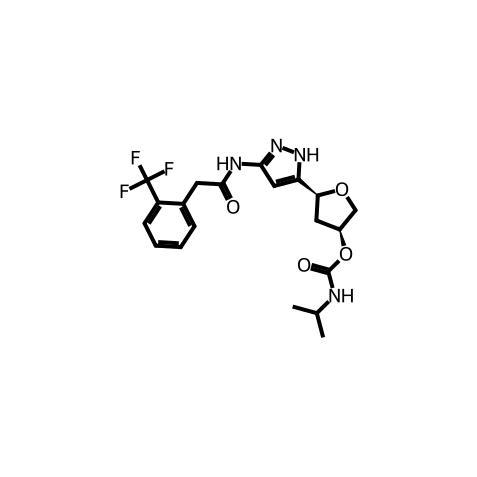 CC(C)NC(=O)O[C@@H]1CO[C@H](c2cc(NC(=O)Cc3ccccc3C(F)(F)F)n[nH]2)C1